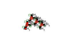 CC(Cl)COP(OCC(C)Cl)OCC(C)Cl.CC(Cl)COP(OCC(C)Cl)OCC(C)Cl.CC(Cl)COP(OCC(C)Cl)OCC(C)Cl.CC(Cl)COP(OCC(C)Cl)OCC(C)Cl.[Ni]